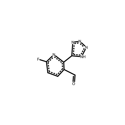 O=Cc1ccc(F)nc1-c1nnn[nH]1